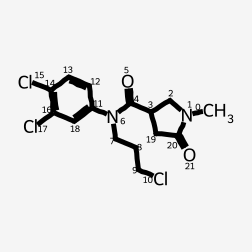 CN1CC(C(=O)N(CCCCl)c2ccc(Cl)c(Cl)c2)CC1=O